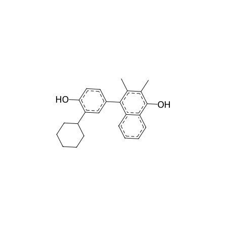 Cc1c(C)c(-c2ccc(O)c(C3CCCCC3)c2)c2ccccc2c1O